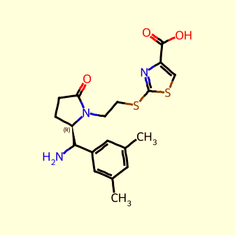 Cc1cc(C)cc(C(N)[C@H]2CCC(=O)N2CCSc2nc(C(=O)O)cs2)c1